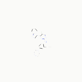 CCc1ccn2c(-c3nc(Nc4ccc(N5CC[N]CC5)cc4OC)ncc3Cl)cnc2c1